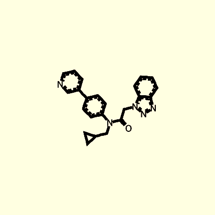 O=C(Cn1nnc2ccccc21)N(CC1CC1)c1ccc(-c2cccnc2)cc1